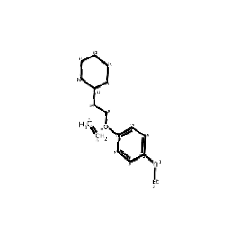 C=C.CCOc1ccc(OCCC2CCCCC2)cc1